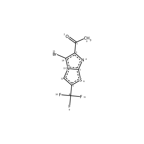 CC(=O)c1nc2sc(C(F)(F)F)cn2c1Br